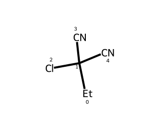 CCC(Cl)(C#N)C#N